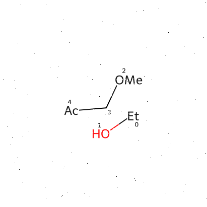 CCO.COCC(C)=O